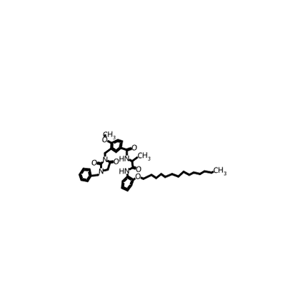 CCCCCCCCCCCCCCOc1ccccc1NC(=O)C(C)NC(=O)c1ccc(OC)c(CN2C(=O)CN(Cc3ccccc3)C2=O)c1